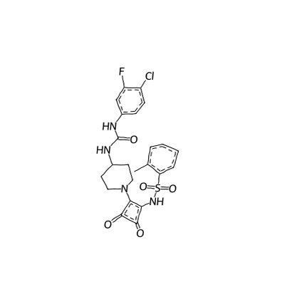 Cc1ccccc1S(=O)(=O)Nc1c(N2CCC(NC(=O)Nc3ccc(Cl)c(F)c3)CC2)c(=O)c1=O